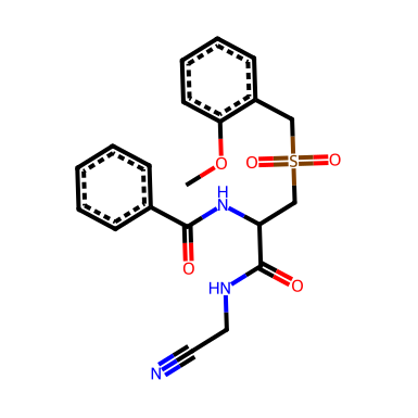 COc1ccccc1CS(=O)(=O)CC(NC(=O)c1ccccc1)C(=O)NCC#N